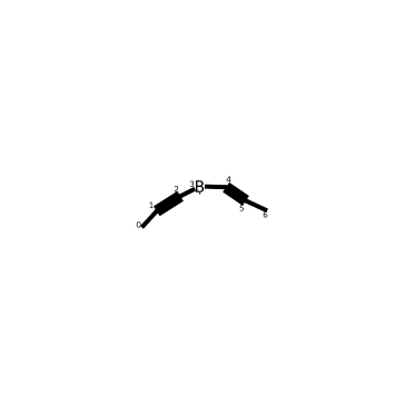 CC#C[B]C#CC